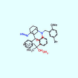 COc1ccc(C(C)C)cc1CN(OC(=O)CC(O)(CC(=O)O)C(=O)O)C1C2CCC(N=N)(CC2)C1C(c1ccccc1)c1ccccc1.O